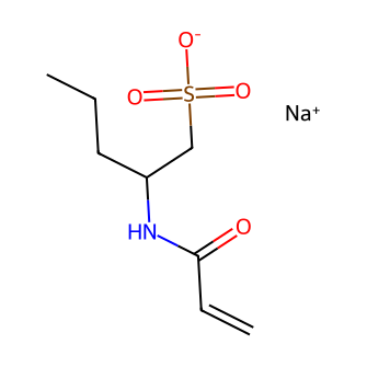 C=CC(=O)NC(CCC)CS(=O)(=O)[O-].[Na+]